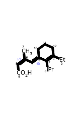 CCC1=C(C(C)C)/C(=C/C(C)=C\C(=O)O)CCC1